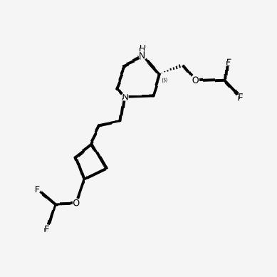 FC(F)OC[C@@H]1CN(CCC2CC(OC(F)F)C2)CCN1